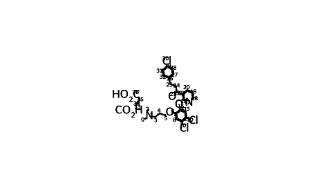 CN(C)CCCOc1cc(Cl)c(Cl)cc1Oc1ncccc1C(=O)CCc1ccc(Cl)cc1.O=C(O)/C=C/C(=O)O